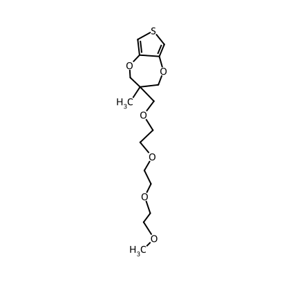 COCCOCCOCCOCC1(C)COc2cscc2OC1